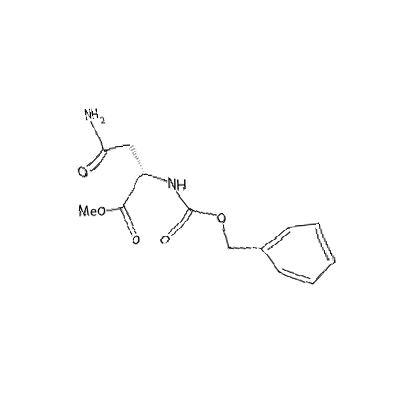 COC(=O)[C@H](CC(N)=O)NC(=O)OCc1ccccc1